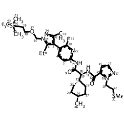 CCc1c(-c2ccc(NC(=O)[C@@H](NC(=O)c3ccnn3CCSC)[C@H]3CC[C@H](C)CC3)nc2F)c(C)nn1COCC[Si](C)(C)C